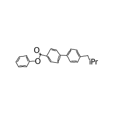 CC(C)Cc1ccc(-c2ccc(C(=O)Oc3ccccc3)cc2)cc1